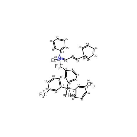 CCCCCC[B-](c1cccc(C(F)(F)F)c1)(c1cccc(C(F)(F)F)c1)c1cccc(C(F)(F)F)c1.CC[N+](=CC=Cc1ccccc1)c1ccccc1